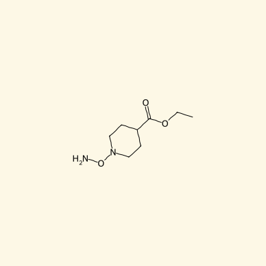 CCOC(=O)C1CCN(ON)CC1